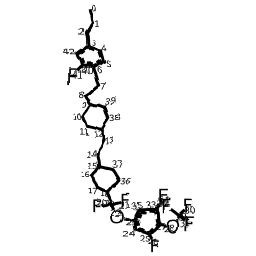 CCCc1ccc(CCC2CCC(CCC3CCC(C(F)(F)Oc4cc(F)c(OC(F)(F)F)c(F)c4)CC3)CC2)c(F)c1